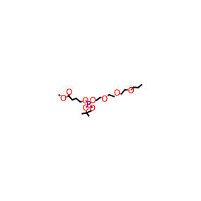 CCCOCCOCCOCCOP(=O)(OCCCC(=O)OC)OC(C)(C)C